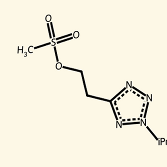 CC(C)n1nnc(CCOS(C)(=O)=O)n1